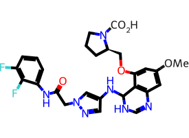 COc1cc2c(c(OC[C@H]3CCCN3C(=O)O)c1)C(Nc1cnn(CC(=O)Nc3cccc(F)c3F)c1)NC=N2